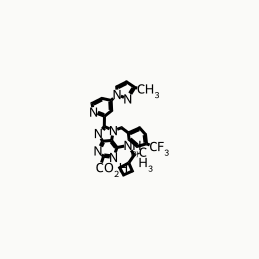 Cc1ccn(-c2ccnc(-c3nc4nc(C(=O)O)nc(N[C@H](C)C5CCC5)c4n3Cc3ccc(C(F)(F)F)cc3)c2)n1